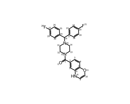 O=C(c1ccc2c(c1)NC=CO2)N1CCN(C(c2ccc(F)cc2)c2ccc(F)cc2)CC1